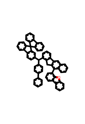 c1ccc(-c2ccc(C(c3ccc4c(c3)C3(c5ccccc5-c5ccccc53)c3ccccc3-4)c3cccc4c3Cc3c-4cc4ccccc4c3-c3cccc4c3oc3ccccc34)cc2)cc1